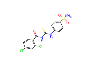 NS(=O)(=O)c1ccc(NC(=S)NC(=O)c2ccc(Cl)cc2Cl)cc1